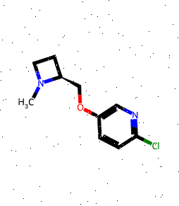 CN1CC[C@H]1COc1ccc(Cl)nc1